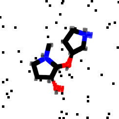 CN1CC[C@@H](O)C1O[C@H]1CCNC1